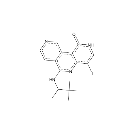 CC(Nc1nc2c(I)c[nH]c(=O)c2c2cnccc12)C(C)(C)C